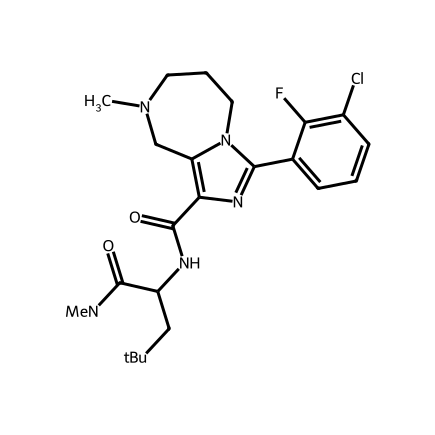 CNC(=O)C(CC(C)(C)C)NC(=O)c1nc(-c2cccc(Cl)c2F)n2c1CN(C)CCC2